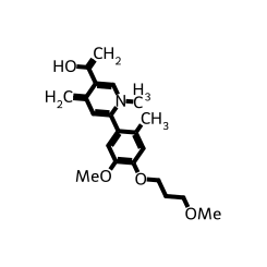 C=C(O)C1=CN(C)C(c2cc(OC)c(OCCCOC)cc2C)=CC1=C